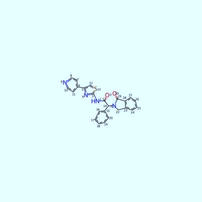 O=C(Nc1nc(-c2ccncc2)cs1)C(c1ccccc1)N1Cc2ccccc2C1=O